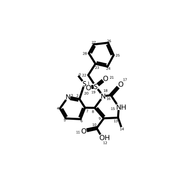 CSc1ncccc1C1=C(C(=O)O)C(C)NC(=O)N1S(=O)(=O)Cc1ccccc1